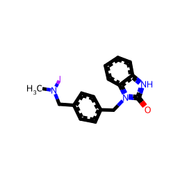 CN(I)Cc1ccc(Cn2c(=O)[nH]c3ccccc32)cc1